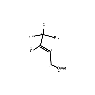 [CH2]OCC=C(Cl)C(F)(F)F